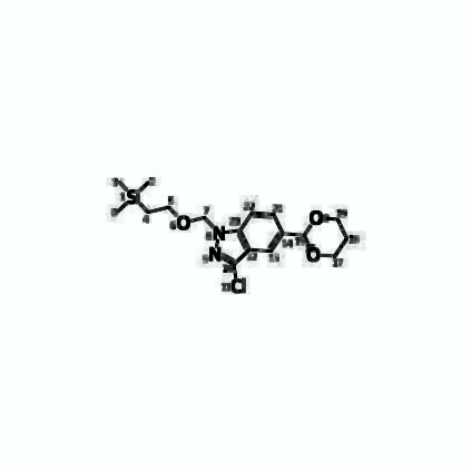 C[Si](C)(C)CCOCn1nc(Cl)c2cc(C3OCCCO3)ccc21